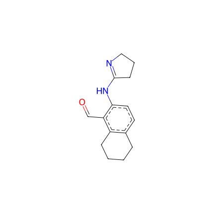 O=Cc1c(NC2=NCCC2)ccc2c1CCCC2